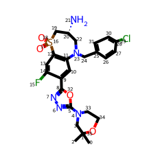 CC1(C)CN(c2nnc(-c3cc4c(cc3F)S(=O)(=O)C[C@H](N)CN4Cc3ccc(Cl)cc3)o2)CCO1